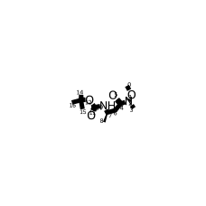 CON(C)C(=O)C[C@@H](C)NC(=O)OC(C)(C)C